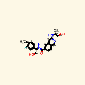 Cc1ccc([C@@H](CO)NC(=O)c2ccc3cnc(N[C@@H](C)CO)cc3c2)cc1F